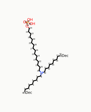 CCCCCCCCCCCCCCCCCCN(CCCCCCCCCCCCCCCCCC)CCCCCCCCCCCCCCCCOP(=O)(O)O